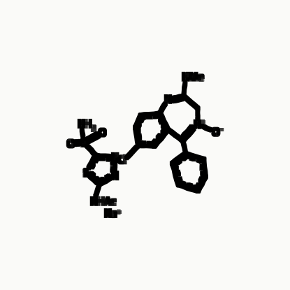 CC(=O)Nc1nnc(S(N)(=O)=O)s1.CNC1=Nc2ccc(Cl)cc2C(c2ccccc2)=[N+]([O-])C1.[Na+]